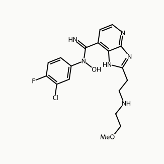 COCCNCCc1nc2nccc(C(=N)N(O)c3ccc(F)c(Cl)c3)c2[nH]1